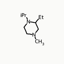 CCC1CN(C)CCN1C(C)C